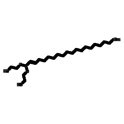 CCCCCCCCCCCCCCCCCCCCCCCCCCC=CN(OCCO)OCCO